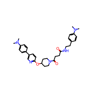 CN(C)c1ccc(CCNC(=O)CCC(=O)N2CCC(Oc3ccc(-c4ccc(N(C)C)cc4)cn3)CC2)cc1